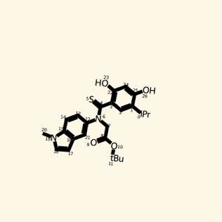 CC(C)c1cc(C(=S)N(CC(=O)OC(C)(C)C)c2ccc3c(ccn3C)c2)c(O)cc1O